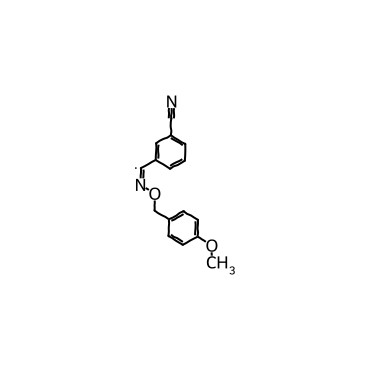 COc1ccc(CO/N=[C]\c2cccc(C#N)c2)cc1